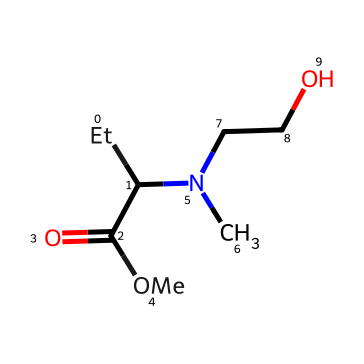 CCC(C(=O)OC)N(C)CCO